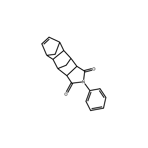 O=C1C2C3CC(C2C(=O)N1c1ccccc1)C1C2C=CC(C2)C31